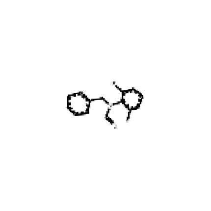 O=CN(Cc1ccccc1)c1c(F)cccc1F